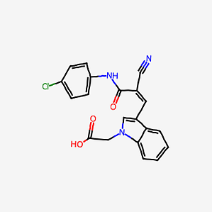 N#CC(=Cc1cn(CC(=O)O)c2ccccc12)C(=O)Nc1ccc(Cl)cc1